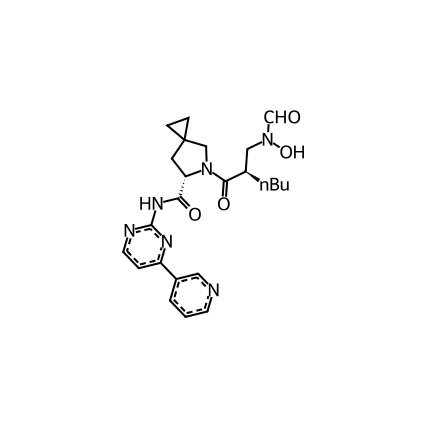 CCCC[C@H](CN(O)C=O)C(=O)N1CC2(CC2)C[C@H]1C(=O)Nc1nccc(-c2cccnc2)n1